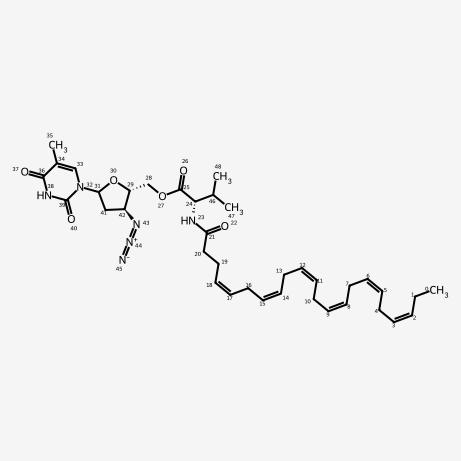 CC/C=C\C/C=C\C/C=C\C/C=C\C/C=C\C/C=C\CCC(=O)N[C@H](C(=O)OC[C@H]1OC(n2cc(C)c(=O)[nH]c2=O)C[C@@H]1N=[N+]=[N-])C(C)C